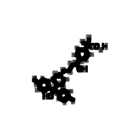 Cc1ccc(C(O)(c2ccc(C)cc2)C2CCN(CCCC(O)c3ccc(C(C)(C)C(=O)O)cc3)CC2)cc1